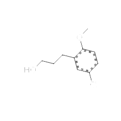 COc1ccc(Cl)cc1CCCO